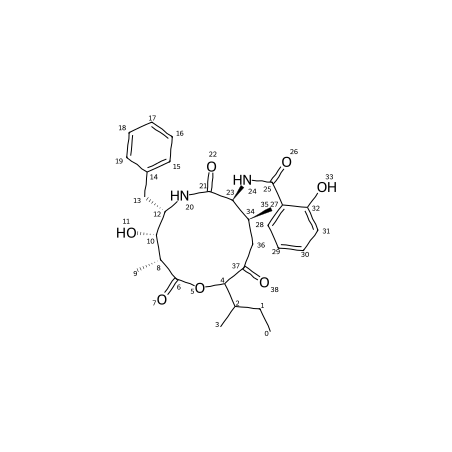 CCC(C)C1OC(=O)[C@H](C)[C@H](O)[C@H](Cc2ccccc2)NC(=O)[C@@H](NC(=O)c2ccccc2O)[C@@H](C)CC1=O